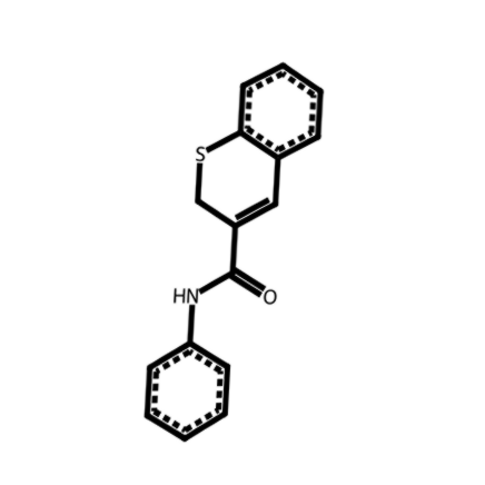 O=C(Nc1ccccc1)C1=Cc2ccccc2SC1